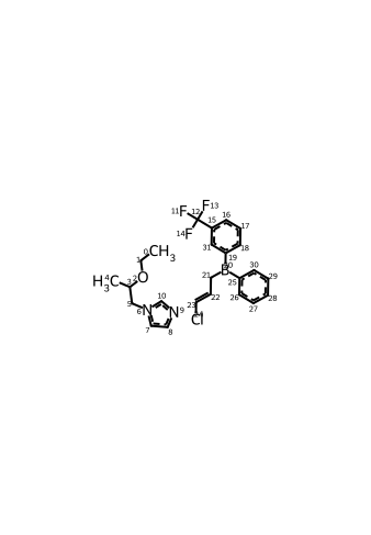 CCOC(C)Cn1ccnc1.FC(F)(F)c1cccc(B(CC=CCl)c2ccccc2)c1